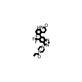 C=CC(=O)N1CCN(c2ncnc3cc(-c4cccc5c4CCC(=O)N5)c(C(F)(F)F)cc23)CC1